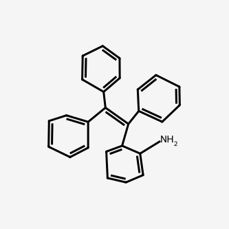 Nc1ccccc1C(=C(c1ccccc1)c1ccccc1)c1ccccc1